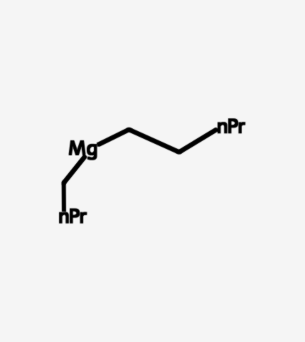 CCCC[CH2][Mg][CH2]CCC